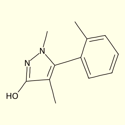 Cc1ccccc1-c1c(C)c(O)nn1C